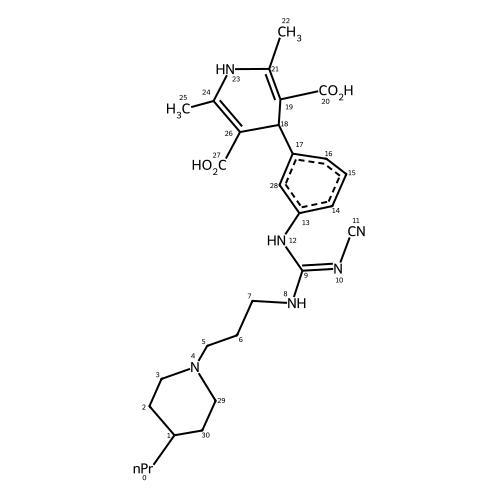 CCCC1CCN(CCCNC(=NC#N)Nc2cccc(C3C(C(=O)O)=C(C)NC(C)=C3C(=O)O)c2)CC1